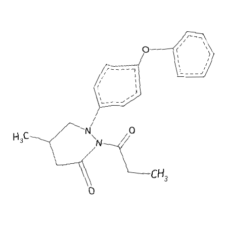 CCC(=O)N1C(=O)CC(C)CN1c1ccc(Oc2ccccc2)cc1